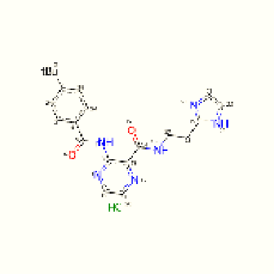 CC(C)(C)c1ccc(C(=O)Nc2nccnc2C(=O)NCCc2ncc[nH]2)cc1.Cl